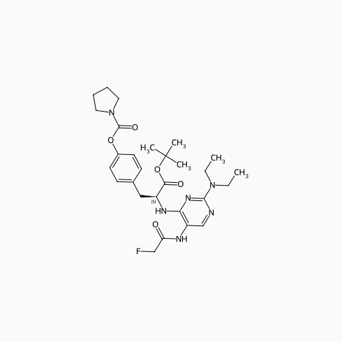 CCN(CC)c1ncc(NC(=O)CF)c(N[C@@H](Cc2ccc(OC(=O)N3CCCC3)cc2)C(=O)OC(C)(C)C)n1